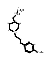 COc1ccc(CCCN2CCC(CNC(=O)O)CC2)cc1